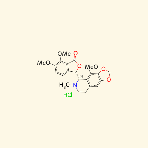 COc1ccc2c(c1OC)C(=O)OC2[C@@H]1c2c(cc3c(c2OC)OCO3)CCN1C.Cl